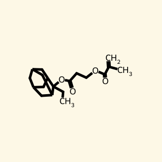 C=C(C)C(=O)OCCC(=O)OC1(CC)C2CC3CC(C2)CC1C3